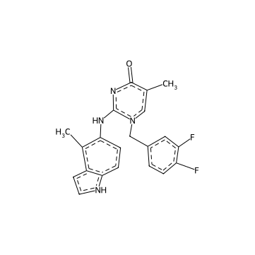 Cc1cn(Cc2ccc(F)c(F)c2)c(Nc2ccc3[nH]ccc3c2C)nc1=O